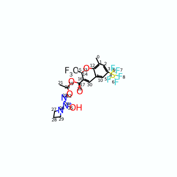 Cc1cc(S(F)(F)(F)(F)F)cc2c1O[C@H](C(F)(F)F)C(C(=O)OC(C)O/N=[N+](\O)N1CCC1)=C2